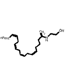 C=C(CCC/C=C\C/C=C\C/C=C\C/C=C\CCCCC)NCCO